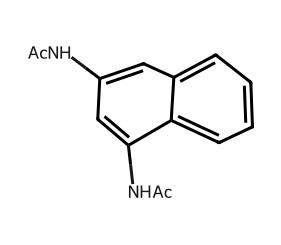 CC(=O)Nc1cc(NC(C)=O)c2ccccc2c1